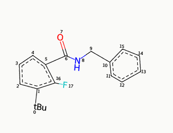 CC(C)(C)c1cccc(C(=O)NCc2ccccc2)c1F